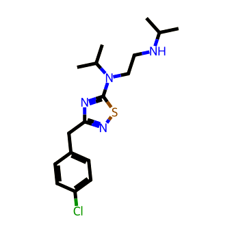 CC(C)NCCN(c1nc(Cc2ccc(Cl)cc2)ns1)C(C)C